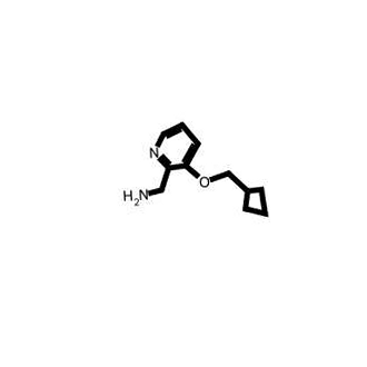 NCc1ncccc1OCC1CCC1